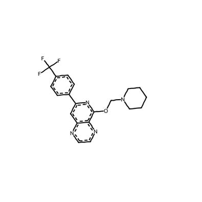 FC(F)(F)c1ccc(-c2cc3nccnc3c(OCN3CCCCC3)n2)cc1